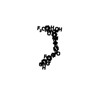 CC(C)(O)c1cc2nn(C34CC(N5CCN(C(=O)C6CN(c7cc(F)c([C@H]8CCC(=O)NC8=O)c(F)c7)C6)CC5)(C3)C4)cc2cc1NC(=O)c1cccc(C(F)(F)F)n1